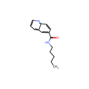 CCCCCNC(=O)c1ccc2ncccc2c1